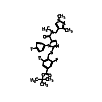 Cc1nn(C)cc1CN(C)C(=O)c1cnc(SCc2c(F)cc(C(=O)OC(C)(C)C)cc2F)n1-c1ccc(F)cc1